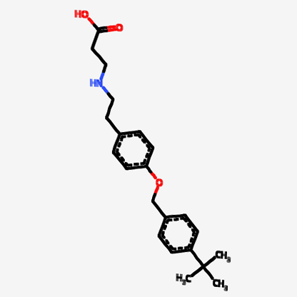 CC(C)(C)c1ccc(COc2ccc(CCNCCC(=O)O)cc2)cc1